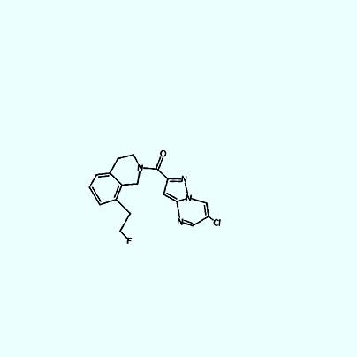 O=C(c1cc2ncc(Cl)cn2n1)N1CCc2cccc(CCF)c2C1